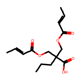 CC=CC(=O)OCC(CCC)(COC(=O)C=CC)C(=O)O